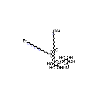 CC/C=C/C=C/C=C/C=C/CCCCCC(=O)OC(COC(=O)CCCCCCC/C=C/CCCC)CO[C@@H]1O[C@H](CO[C@@H]2O[C@H](CO)[C@H](O)C(O)C2O)[C@H](O)C(O)C1O